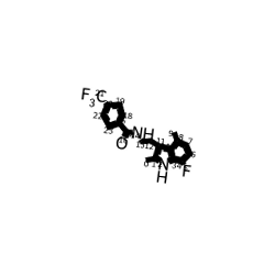 Cc1[nH]c2c(F)ccc(C)c2c1CCNC(=O)c1ccc(C(F)(F)F)cc1